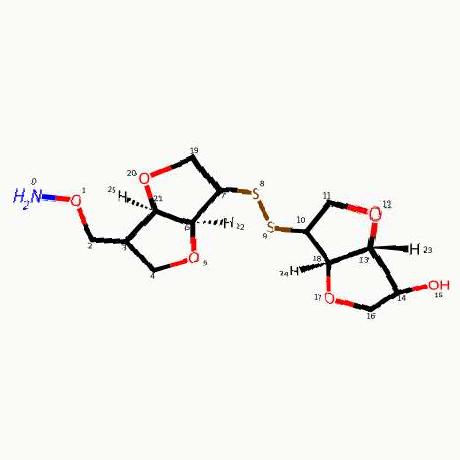 NOCC1CO[C@@H]2C(SSC3CO[C@@H]4C(O)CO[C@H]34)CO[C@H]12